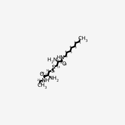 CCCCCCCCNC(=O)[C@@H](N)CSSC[C@H](N)C(=O)NCC